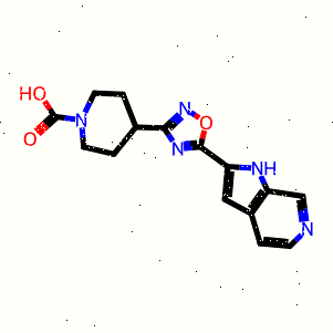 O=C(O)N1CCC(c2noc(-c3cc4ccncc4[nH]3)n2)CC1